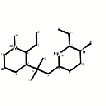 CCC1C(C(C)(C)CC2CC[C@H](C)[C@H](CC)N2)CCCN1C